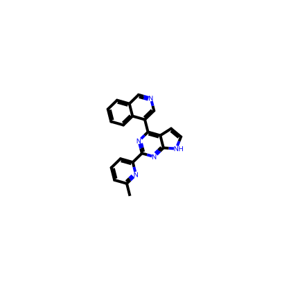 Cc1cccc(-c2nc(-c3cncc4ccccc34)c3cc[nH]c3n2)n1